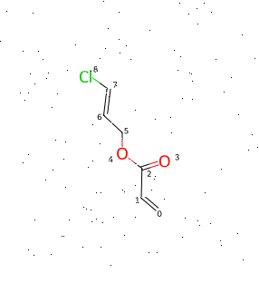 C=CC(=O)OCC=CCl